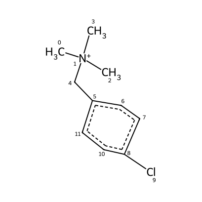 C[N+](C)(C)Cc1ccc(Cl)cc1